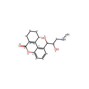 CCCNCC(O)C(O)c1cccc2oc(=O)c3c(c12)CCCC3